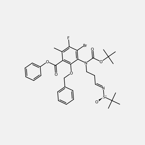 Cc1c(F)c(Br)c(N(CC/C=N/[S@+]([O-])C(C)(C)C)C(=O)OC(C)(C)C)c(OCc2ccccc2)c1C(=O)Oc1ccccc1